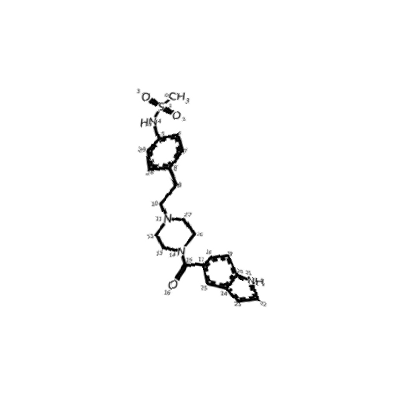 CS(=O)(=O)Nc1ccc(CCN2CCN(C(=O)c3ccc4[nH]ccc4c3)CC2)cc1